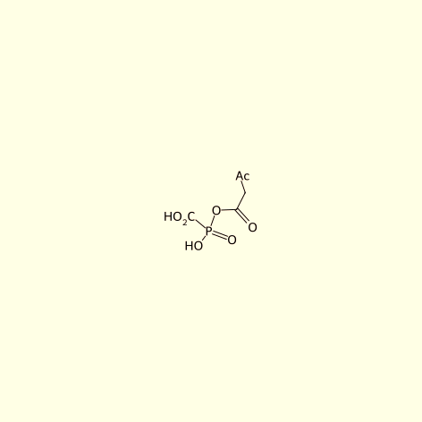 CC(=O)CC(=O)OP(=O)(O)C(=O)O